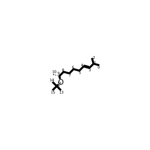 CC(C)/C=C/CCCC[C@@H](C)OC(C)(C)C